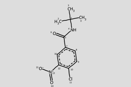 CC(C)(C)NC(=O)c1ccc(Cl)c([N+](=O)[O-])c1